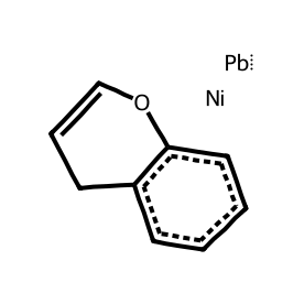 C1=COc2ccccc2C1.[Ni].[Pb]